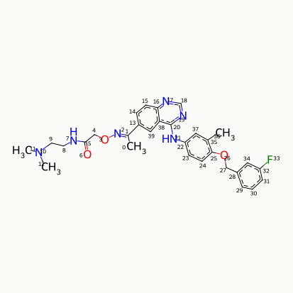 C/C(=N\OCC(=O)NCCN(C)C)c1ccc2ncnc(Nc3ccc(OCc4cccc(F)c4)c(C)c3)c2c1